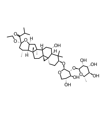 CCO[C@@]1(C(=O)C(C)C)C[C@@H](C)[C@H]2[C@H](C[C@@]3(C)[C@@H]4C[C@H](O)[C@H]5C(C)(C)[C@@H](O[C@@H]6OC[C@@H](O)[C@H](O)[C@H]6O[C@@H]6O[C@@H](C)[C@H](O)[C@@H](O)[C@H]6O)CC[C@@]56C[C@@]46CC[C@]23C)O1